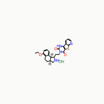 CCOc1cccc2c1CC[C@H]1CNC(CCn3c(=O)[nH]c4c(sc5ncccc54)c3=O)[C@@H]21.Cl